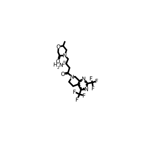 CC1CN(C[C@@H](N)CC(=O)N2CCc3c(nc(C(F)(F)F)nc3C(F)(F)F)C2)C(=O)CO1